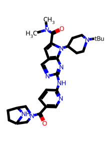 CN(C)C(=O)c1cc2cnc(Nc3ccc(C(=O)N4CC5CCC(C4)N5)cn3)nc2n1C1CCN(C(C)(C)C)CC1